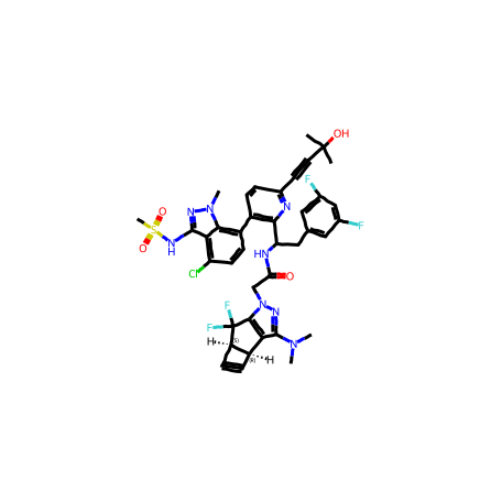 CN(C)c1nn(CC(=O)NC(Cc2cc(F)cc(F)c2)c2nc(C#CC(C)(C)O)ccc2-c2ccc(Cl)c3c(NS(C)(=O)=O)nn(C)c23)c2c1[C@H]1C#C[C@H]1C2(F)F